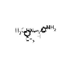 Cc1cc(C)nc(NCCNc2ccc(N)cc2)c1